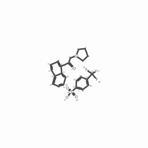 O=C(C[S+]1CCCC1)c1cccc2ccccc12.O=S(=O)([O-])c1ccc(C(F)(F)F)cc1